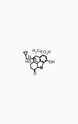 CC(=O)O.O=C1CC[C@@]2(O)[C@H]3Cc4ccc(O)c5c4[C@@]2(CCN3CC2CC2)[C@H]1O5